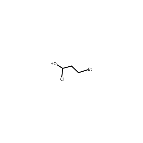 [CH2]CCCC(O)Cl